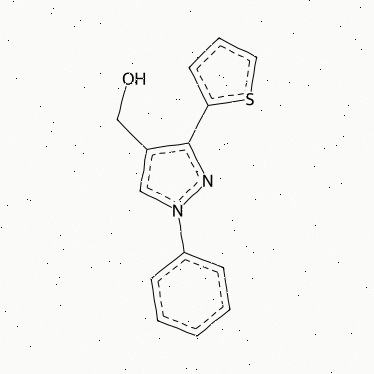 OCc1cn(-c2ccccc2)nc1-c1cccs1